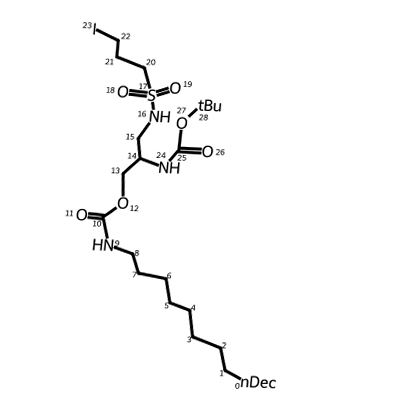 CCCCCCCCCCCCCCCCCCNC(=O)OCC(CNS(=O)(=O)CCCI)NC(=O)OC(C)(C)C